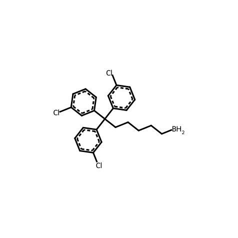 BCCCCCC(c1cccc(Cl)c1)(c1cccc(Cl)c1)c1cccc(Cl)c1